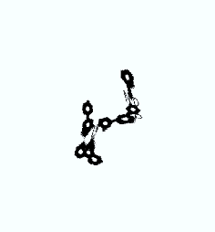 c1ccc(-c2cccc(N(c3ccc(-c4ccc5oc6cc7oc(-c8ccccc8)nc7cc6c5c4)cc3)c3cc4ccccc4c4ccccc34)c2)cc1